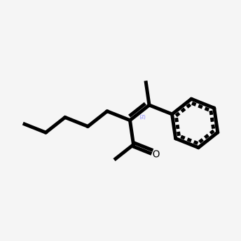 CCCCC/C(C(C)=O)=C(\C)c1ccccc1